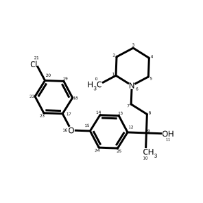 CC1CCCCN1CCC(C)(O)c1ccc(Oc2ccc(Cl)cc2)cc1